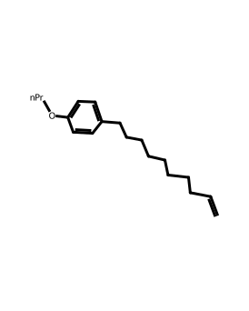 C=CCCCCCCCCc1ccc(OCCC)cc1